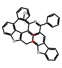 C/N=C(\N=C(\c1ccccc1)c1ccc2oc3ccccc3c2c1)C1=CCCc2oc3cccc(-c4ccccc4)c3c21